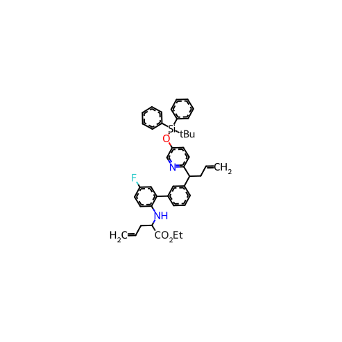 C=CCC(Nc1ccc(F)cc1-c1cccc(C(CC=C)c2ccc(O[Si](c3ccccc3)(c3ccccc3)C(C)(C)C)cn2)c1)C(=O)OCC